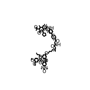 CCCOc1cc(OCCCCN(C)CC(=O)NCC(=O)N2CCN(c3ccc(Nc4ncc5c(C)c(C(C)=O)c(=O)n(C6CCCC6)c5n4)nc3)CC2)cc(Oc2cc3c(cc2NS(=O)(=O)c2ccc(OC)c(OC)c2)n(C)c(=O)n3C)c1